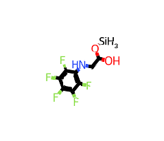 OC(CNc1c(F)c(F)c(F)c(F)c1F)O[SiH3]